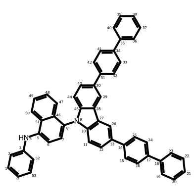 c1ccc(Nc2ccc(-n3c4ccc(-c5ccc(-c6ccccc6)cc5)cc4c4cc(-c5ccc(-c6ccccc6)cc5)ccc43)c3ccccc23)cc1